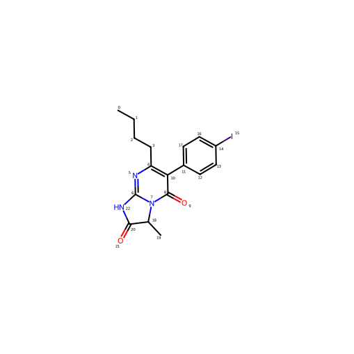 CCCCc1nc2n(c(=O)c1-c1ccc(I)cc1)C(C)C(=O)N2